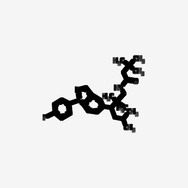 CC(C)CC(c1ccc2c(cnn2-c2ccc(F)cc2)c1)C(C)(C)CNC(=O)CC(C)(C)C